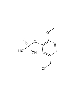 COc1ccc(CCl)cc1OP(=O)(O)O